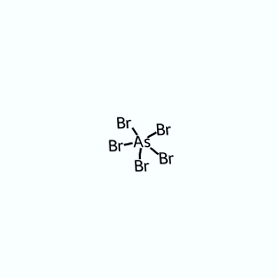 Br[As](Br)(Br)(Br)Br